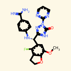 COc1cc([C@H](Nc2ccc(C(=N)N)cc2)c2nn(-c3ncccn3)c(=O)[nH]2)c(F)c2c1OCC2